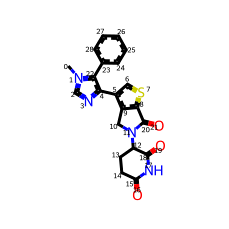 Cn1cnc(-c2csc3c2CN(C2CCC(=O)NC2=O)C3=O)c1-c1ccccc1